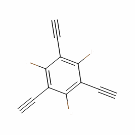 C#Cc1c(Br)c(C#C)c(Br)c(C#C)c1Br